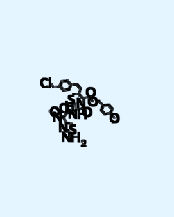 CO/N=C(\C(=O)N[C@@H]1C(=O)N2C(C(=O)OCc3ccc(OC)cc3)=C(/C=C\c3ccc(CCl)cc3)CS[C@H]12)c1csc(N)n1